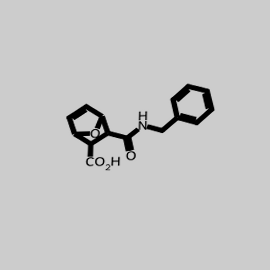 O=C(O)C1C2C=CC(O2)C1C(=O)NCc1ccccc1